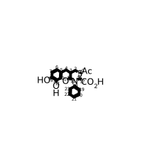 CC(=O)SCC(Cc1ccc(O)c(O)c1)C(=O)N(CC(=O)O)c1ccccc1